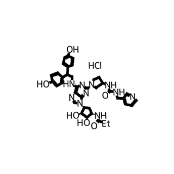 CCC(=O)N[C@H]1C[C@@H](n2cnc3c(NCC(c4ccc(O)cc4)c4ccc(O)cc4)nc(N4CCC(NC(=O)NCc5cccnc5)C4)nc32)[C@H](O)[C@@H]1O.Cl